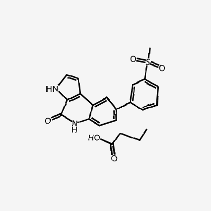 CCCC(=O)O.CS(=O)(=O)c1cccc(-c2ccc3[nH]c(=O)c4[nH]ccc4c3c2)c1